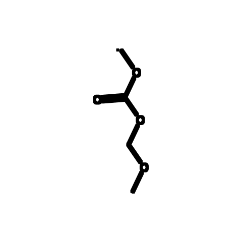 [CH2]OC(=O)OCOC